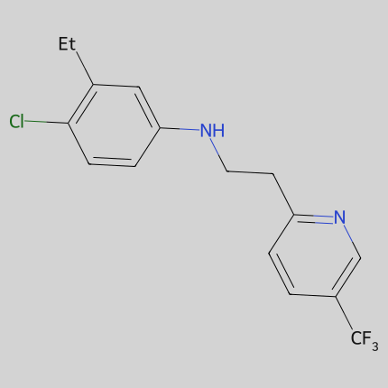 CCc1cc(NCCc2ccc(C(F)(F)F)cn2)ccc1Cl